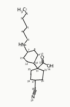 CCCCCCNC1CCC(C2(C(=O)O)CCC(C#N)CC2)CC1